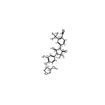 CO[C@H]1COC[C@@H]1Oc1ccc(N2C(=S)N(c3ccc(C#N)c(C(F)(F)F)c3)C(=O)C2(C)C)cc1F